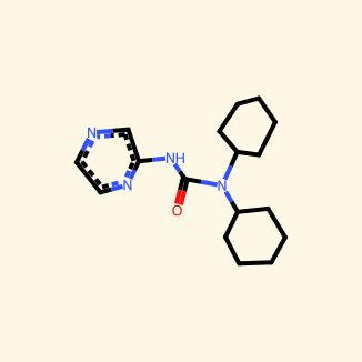 O=C(Nc1cnccn1)N(C1CCCCC1)C1CCCCC1